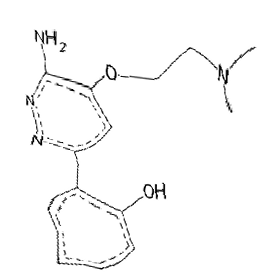 CN(C)CCOc1cc(-c2ccccc2O)nnc1N